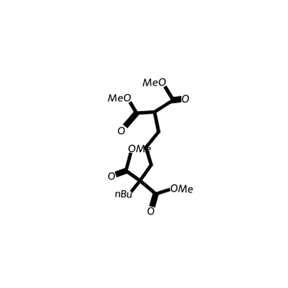 [CH2]CCCC(CCCC(C(=O)OC)C(=O)OC)(C(=O)OC)C(=O)OC